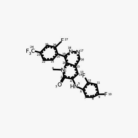 Cn1c(=O)c(Nc2ccc(F)cc2F)cc2cnnc(-c3ccc(C(F)(F)F)cc3F)c21